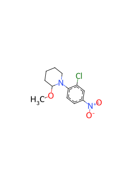 COC1CCCCN1c1ccc([N+](=O)[O-])cc1Cl